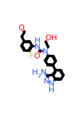 Nc1n[nH]c2cccc(-c3ccc(N(CCO)C(=O)Nc4cc(CC=O)ccc4F)cc3)c12